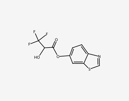 O=C(Oc1ccc2ncsc2c1)C(O)C(F)(F)F